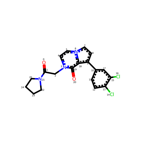 O=C(Cn1ccn2ccc(-c3ccc(Cl)c(Cl)c3)c2c1=O)N1CCCC1